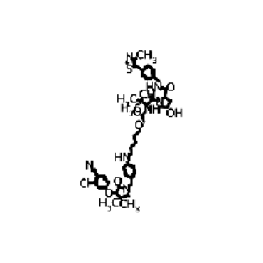 Cc1ncsc1-c1ccc(CNC(=O)C2CC(O)CN2C(=O)C(NC(=O)COCCCCCNc2ccc(CN3CC(C)(C)C(Oc4ccc(C#N)c(Cl)c4)C3=O)cc2)C(C)(C)C)cc1